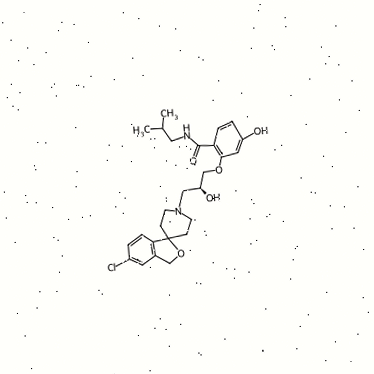 CC(C)CNC(=O)c1ccc(O)cc1OC[C@@H](O)CN1CCC2(CC1)OCc1cc(Cl)ccc12